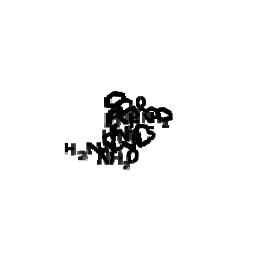 CC(C)C[C@@H](NC(=O)[C@@H](Cc1ccccc1)NC(=O)[C@H](N)Cc1ccccc1)C(=O)N[C@H](CNC(N)N)C(=O)N1CCCSCC1